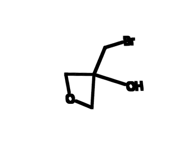 OC1(CBr)COC1